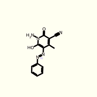 Cc1c(/N=N/c2ccccc2)c(O)n(N)c(=O)c1C#N